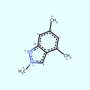 Cc1cc(C)c2cn(C)nc2c1